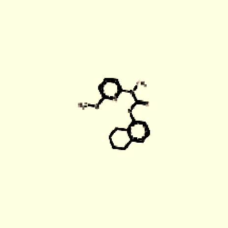 COc1cccc(N(C)C(=S)Oc2cccc3c2CCCC3)n1